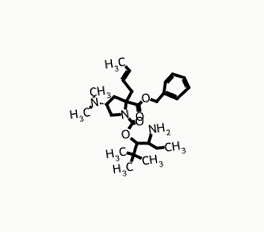 CC=CCC1(C(=O)OCc2ccccc2)C[C@@H](N(C)C)CN1C(=O)OC(C(N)CC)C(C)(C)C